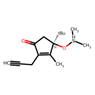 C#CCC1=C(C)[C@@](O[SiH](C)C)(C(C)(C)C)CC1=O